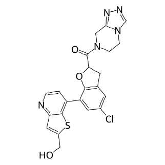 O=C(C1Cc2cc(Cl)cc(-c3ccnc4cc(CO)sc34)c2O1)N1CCn2cnnc2C1